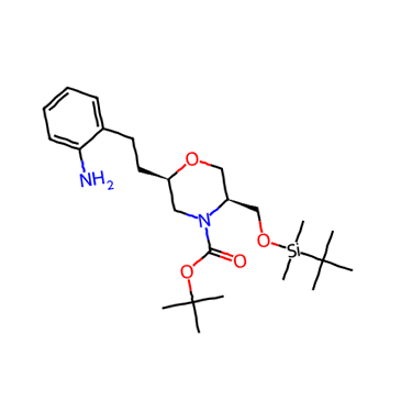 CC(C)(C)OC(=O)N1C[C@@H](CCc2ccccc2N)OC[C@H]1CO[Si](C)(C)C(C)(C)C